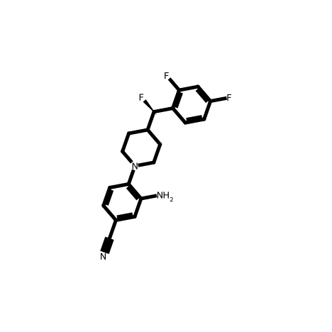 N#Cc1ccc(N2CCC([C@@H](F)c3ccc(F)cc3F)CC2)c(N)c1